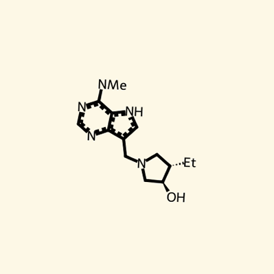 CC[C@H]1CN(Cc2c[nH]c3c(NC)ncnc23)C[C@@H]1O